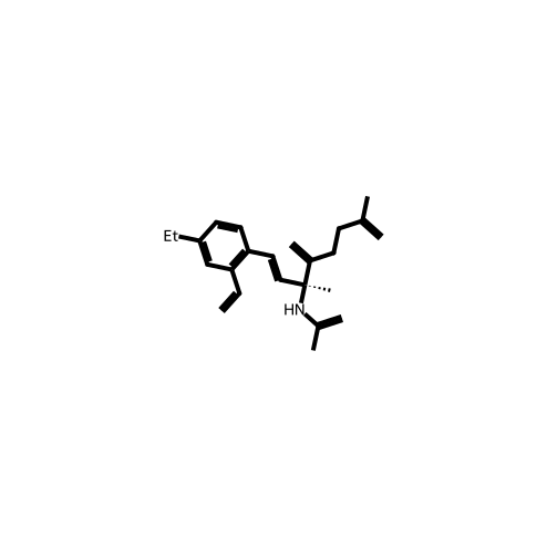 C=Cc1cc(CC)ccc1/C=C/[C@](C)(NC(=C)C)C(=C)CCC(=C)C